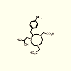 Nc1ccc(CC2CN(CC(=O)O)CCN(CC(=O)O)CCN2CC(O)O)cc1